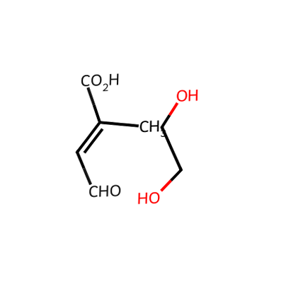 CC(=CC=O)C(=O)O.OCCO